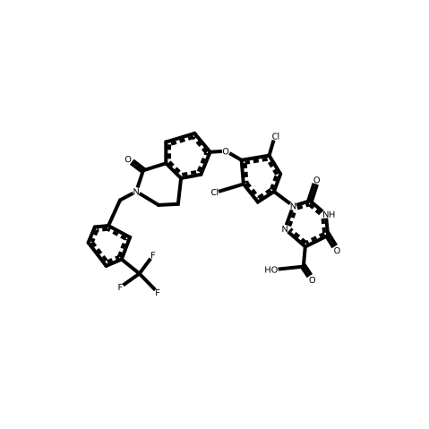 O=C(O)c1nn(-c2cc(Cl)c(Oc3ccc4c(c3)CCN(Cc3cccc(C(F)(F)F)c3)C4=O)c(Cl)c2)c(=O)[nH]c1=O